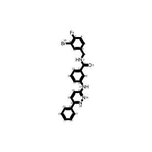 O=C(NCc1ccc(F)c(Br)c1)c1cccc(Nc2ccc(-c3ccccc3)nn2)c1